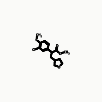 COC(=O)C(CC1CCOC1)c1ccc(SC)c(Cl)c1